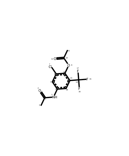 CC(=O)Nc1cc(Cl)c(OC(C)=O)c(C(F)(F)F)c1